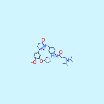 COc1ccc(C2=NN(Cc3ccc(NC(=O)CCN(C(C)C)C(C)C)cc3)C(=O)CC2)cc1OC1CCCC1